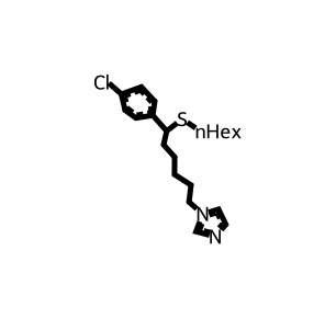 CCCCCCSC(CCCCCn1ccnc1)c1ccc(Cl)cc1